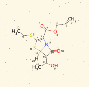 C=CCOC(=O)C1=C(SCC)S[C@@H]2C(C(C)O)C(=O)N12